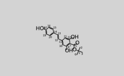 CC(C)(C)OC(=O)c1c(O)cc(C=Cc2ccc(O)cc2)cc1O